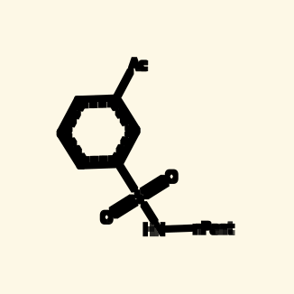 CCCCCNS(=O)(=O)c1cccc(C(C)=O)c1